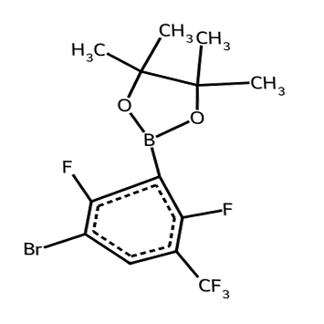 CC1(C)OB(c2c(F)c(Br)cc(C(F)(F)F)c2F)OC1(C)C